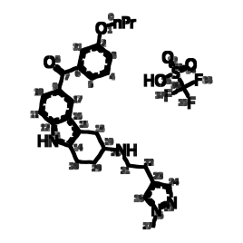 CCCOc1cccc(C(=O)c2ccc3[nH]c4c(c3c2)CC(NCCc2cnn(C)c2)CC4)c1.O=S(=O)(O)C(F)(F)F